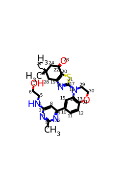 Cc1nc(NCCO)cc(-c2ccc3c(c2)N(c2nc4c(s2)C(=O)CC(C)(C)C4)CCO3)n1